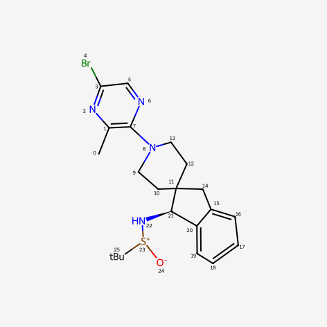 Cc1nc(Br)cnc1N1CCC2(CC1)Cc1ccccc1[C@H]2N[S+]([O-])C(C)(C)C